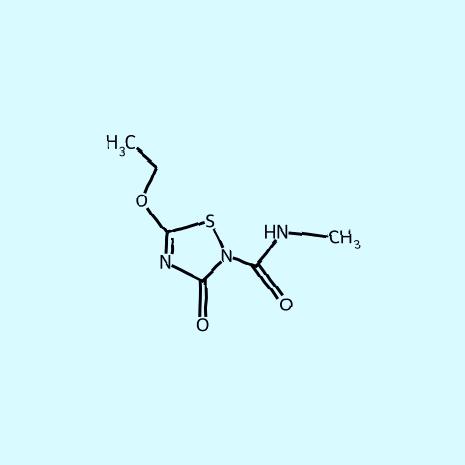 CCOc1nc(=O)n(C(=O)NC)s1